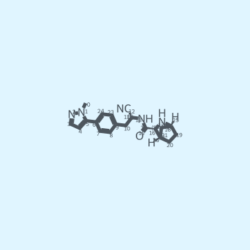 Cn1nccc1-c1ccc(C[C@@H](C#N)NC(=O)[C@H]2N[C@@H]3CC[C@H]2C3)cc1